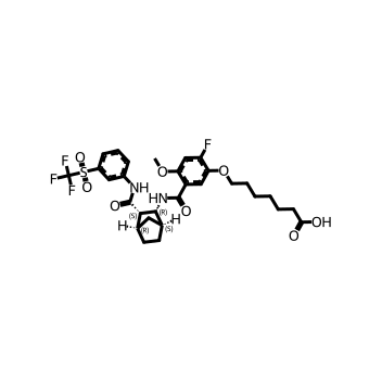 COc1cc(F)c(OCCCCCCC(=O)O)cc1C(=O)N[C@@H]1[C@H]2CC[C@H](C2)[C@@H]1C(=O)Nc1cccc(S(=O)(=O)C(F)(F)F)c1